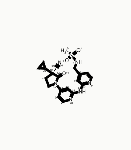 CS(=O)(=O)NCc1ccnc(Nc2cc(N3CC[C@@](C#N)(C4CC4)C3=O)ccn2)c1